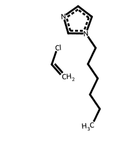 C=CCl.CCCCCCn1ccnc1